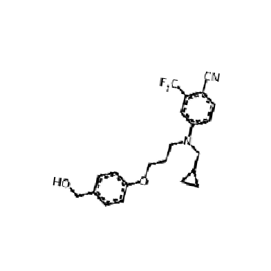 N#Cc1ccc(N(CCCOc2ccc(CO)cc2)CC2CC2)cc1C(F)(F)F